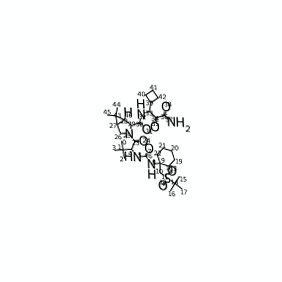 CC(C)(C)[C@H](NC(=O)NC1(CS(=O)(=O)C(C)(C)C)CCCCC1)C(=O)N1CC2[C@@H]([C@H]1C(=O)NC(C(=O)C(N)=O)C1CCC1)C2(C)C